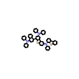 c1ccc(N(c2ccccc2)c2cc(-c3ccc(N(c4ccccc4)c4ccccc4)c4ccccc34)c3sc4ccc(N(c5ccccc5)c5cccc6c5sc5ccccc56)cc4c3c2)cc1